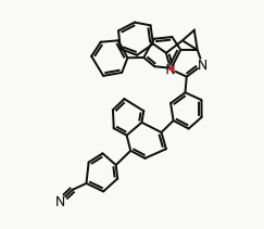 N#Cc1ccc(-c2ccc(-c3cccc(C4=NC5(c6ccc(-c7ccccc7)cc6)CC5C(c5ccccc5)=N4)c3)c3ccccc23)cc1